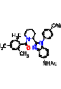 COc1ccc(-n2c(C3CCCCN3C(=O)c3c(C)cc(C)cc3C)nc3cc(NC(C)=O)ccc32)cc1